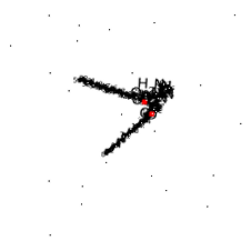 CCCCCCCCCCCCCCCC(=O)Oc1ccc(-c2nc3ncnc(N)c3nc2-c2ccc(OC(=O)CCCCCCCCCCCCCCC)cc2)cc1